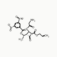 C=CCOC(=O)N1C(=O)[C@H]([C@@H](C)OC(=O)c2cc([N+](=O)[O-])cc([N+](=O)[O-])c2)[C@H]1SC(=O)CN